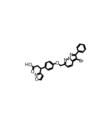 O=C(O)CC(c1ccc(OCc2ccc3c(Br)c(-c4ccccc4)nn3n2)cc1)c1ccon1